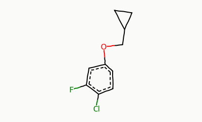 Fc1cc(OCC2CC2)ccc1Cl